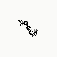 CCOC(=O)c1cccc(C2CCN(c3ccc4nnc(C(F)(F)F)n4n3)CC2)c1